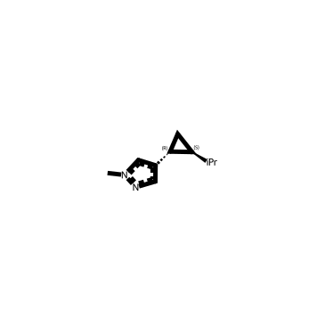 CC(C)[C@@H]1C[C@H]1c1cnn(C)c1